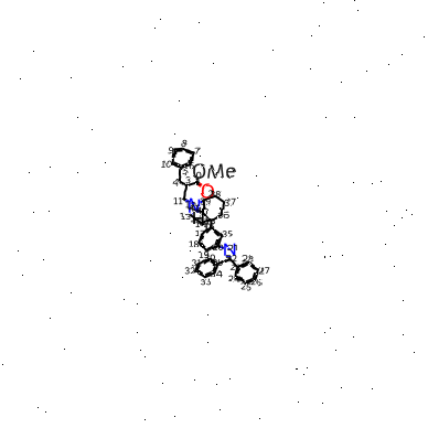 COC(=O)C(Cc1ccccc1)CN1CCC2(c3cccc(N=C(c4ccccc4)c4ccccc4)c3)CCCC1[C@@H]2C